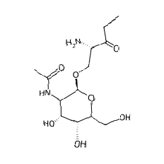 CCC(=O)[C@@H](N)CO[C@H]1OC(CO)[C@H](O)[C@H](O)C1NC(C)=O